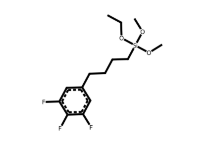 CCO[Si](CCCCc1cc(F)c(F)c(F)c1)(OC)OC